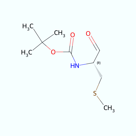 CSC[C@@H](C=O)NC(=O)OC(C)(C)C